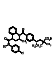 CCN(C(=O)C1C[C@H](C)N(C(=O)c2ccc([C@@H](C)CC(C)(C)C(=O)O)cc2)c2ccccc21)c1ccc(Cl)cc1